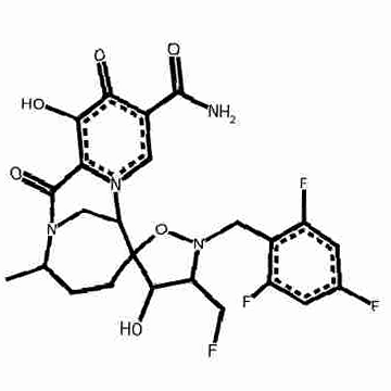 CC1CCC2(ON(Cc3c(F)cc(F)cc3F)C(CF)C2O)C2CN1C(=O)c1c(O)c(=O)c(C(N)=O)cn12